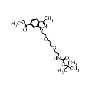 COC(=O)c1ccc2c(C)nn(CCOCCOCCNC(=O)OC(C)(C)C)c2c1